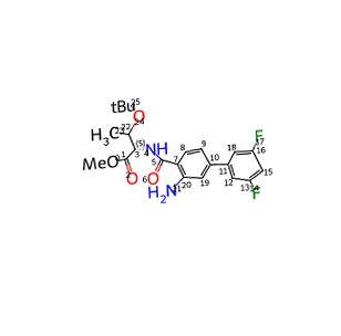 COC(=O)[C@@H](NC(=O)c1ccc(-c2cc(F)cc(F)c2)cc1N)C(C)OC(C)(C)C